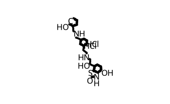 Cl.Cl.O=c1[nH]c2c(O)ccc(C(O)CNCCc3cccc(CNCc4ccccc4O)c3)c2s1